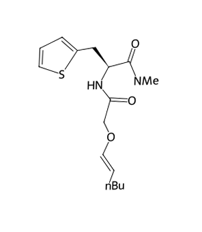 CCCC/C=C/OCC(=O)N[C@@H](Cc1cccs1)C(=O)NC